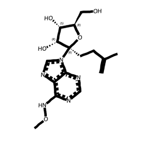 C=C(C)CC[C@@]1(n2cnc3c(NOC)ncnc32)O[C@H](CO)[C@@H](O)[C@H]1O